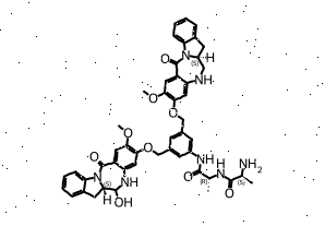 COc1cc2c(cc1OCc1cc(COc3cc4c(cc3OC)C(=O)N3c5ccccc5C[C@H]3C(O)N4)cc(NC(=O)[C@@H](C)NC(=O)[C@H](C)N)c1)NC[C@@H]1Cc3ccccc3N1C2=O